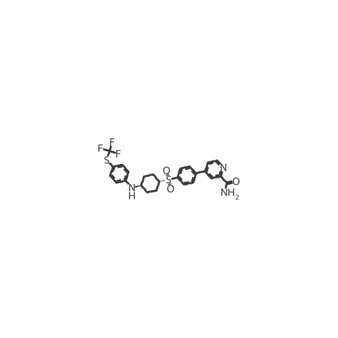 NC(=O)c1cc(-c2ccc(S(=O)(=O)[C@H]3CC[C@H](Nc4ccc(SC(F)(F)F)cc4)CC3)cc2)ccn1